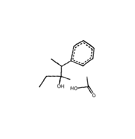 CC(=O)O.CCC(C)(O)C(C)c1ccccc1